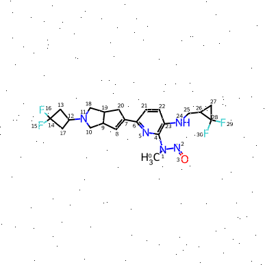 CN(N=O)c1nc(C2=CC3CN(C4CC(F)(F)C4)CC3C2)ccc1NCC1CC1(F)F